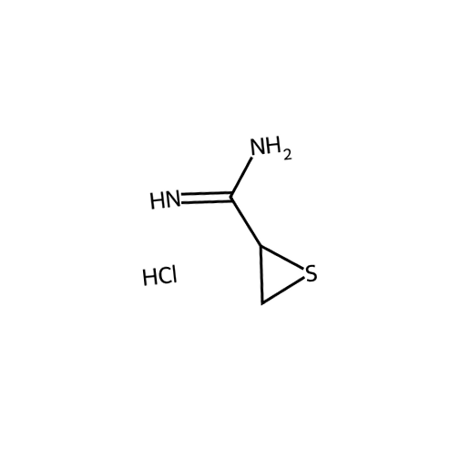 Cl.N=C(N)C1CS1